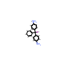 Nc1ccc(C(I)(C2=CCCC=C2)c2ccc(N)cc2)cc1